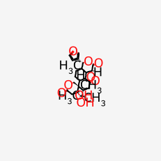 CC(C)(O)[C@@H]1CC(=O)[C@]2(C)[C@H](CC[C@@]3(C)[C@H](c4ccoc4)OC(=O)[C@H]4O[C@]432)[C@]12COC(=O)C[C@@H]2O